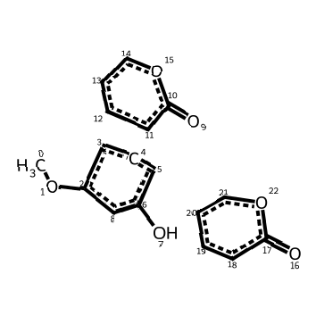 COc1cccc(O)c1.O=c1cccco1.O=c1cccco1